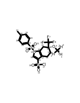 [2H]C([2H])([2H])O[C@]1(C(F)(F)F)CCc2c(S(=O)(=O)Cl)cn(S(=O)(=O)c3ccc(C)cc3)c2C1